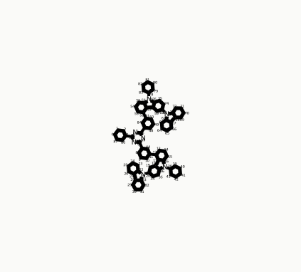 c1ccc(-c2nc(-c3cccc(-c4cccc5c4c4cc(-n6c7ccccc7c7ccccc76)ccc4n5-c4ccccc4)c3)nc(-c3cccc(-c4cccc5c4c4cc(-n6c7ccccc7c7ccccc76)ccc4n5-c4ccccc4)c3)n2)cc1